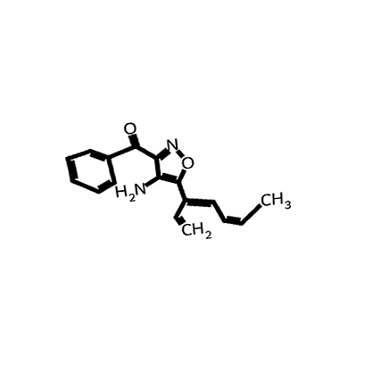 C=C/C(=C\C=C/C)c1onc(C(=O)c2ccccc2)c1N